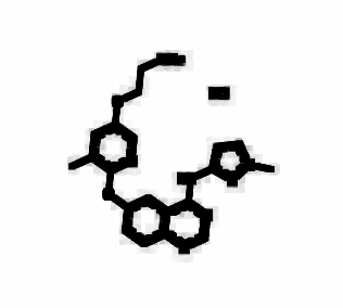 CNCCOc1cnc(Oc2ccc3ncnc(Nc4ccn(C)n4)c3c2)c(C)c1.Cl